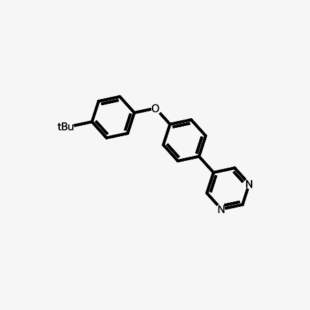 CC(C)(C)c1ccc(Oc2ccc(-c3cncnc3)cc2)cc1